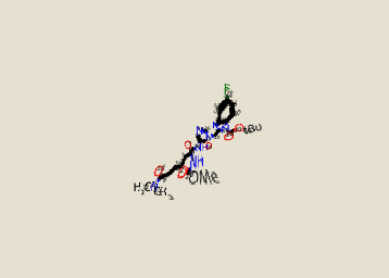 COC(=O)NC(CC/C=C/C(=O)N(C)C)C(=O)Nc1cncn(Cc2nc3cc(F)ccc3n2C(=O)OC(C)(C)C)c1=O